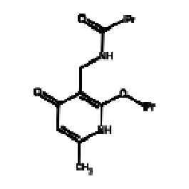 Cc1cc(=O)c(CNC(=O)C(C)C)c(OC(C)C)[nH]1